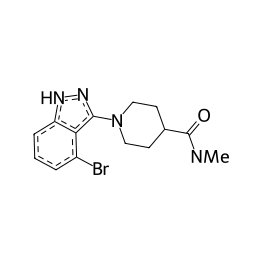 CNC(=O)C1CCN(c2n[nH]c3cccc(Br)c23)CC1